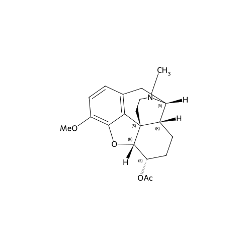 COc1ccc2c3c1O[C@H]1[C@@H](OC(C)=O)CC[C@H]4[C@@H](C2)N(C)CC[C@@]341